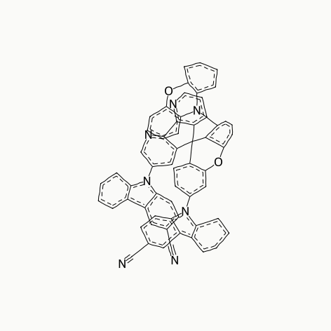 N#Cc1ccc2c(c1)c1ccccc1n2-c1ccc2c(c1)Oc1cccc(N3c4ccccc4Oc4ccccc43)c1C21c2cccnc2-c2ncc(-n3c4ccccc4c4cc(C#N)ccc43)cc21